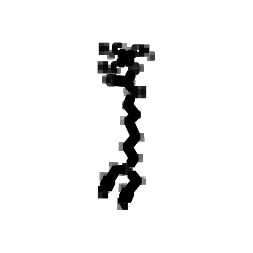 CC(C)(C)OC(=O)NCCCCCCN(CC#N)CC#N